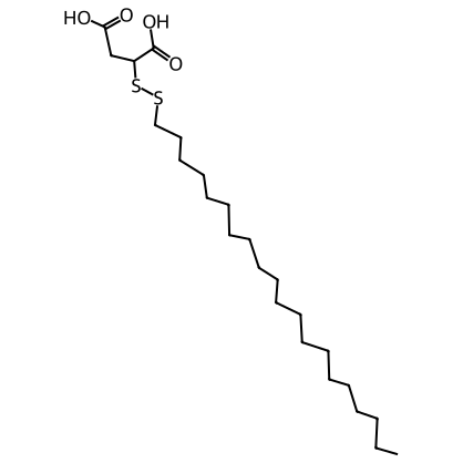 CCCCCCCCCCCCCCCCCCCCSSC(CC(=O)O)C(=O)O